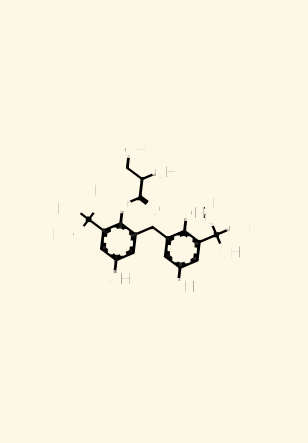 CCC(C)C(=O)Oc1c(Cc2cc(C)cc(C(C)(C)C)c2O)cc(C)cc1C(C)(C)C